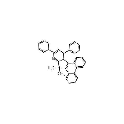 CC1(C)c2nc(-c3ccccc3)nc(-c3ccccc3)c2-c2c1c1ccccc1c1ccccc21